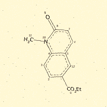 CCOC(=O)c1ccc2c(ccc(=O)n2C)c1